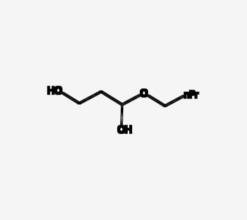 CCCCOC(O)CCO